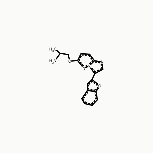 CC(N)COc1ccc2ncc(-c3cc4ccccc4o3)n2n1